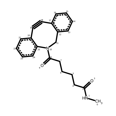 CNC(=O)CCCCC(=O)N1Cc2ccccc2C#Cc2ccccc21